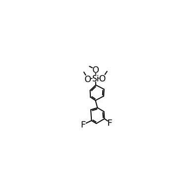 CO[Si](OC)(OC)c1ccc(-c2cc(F)cc(F)c2)cc1